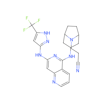 N#CCCN1C2CCC1CC(Nc1nc(Nc3cc(C(F)(F)F)[nH]n3)cc3ncccc13)C2